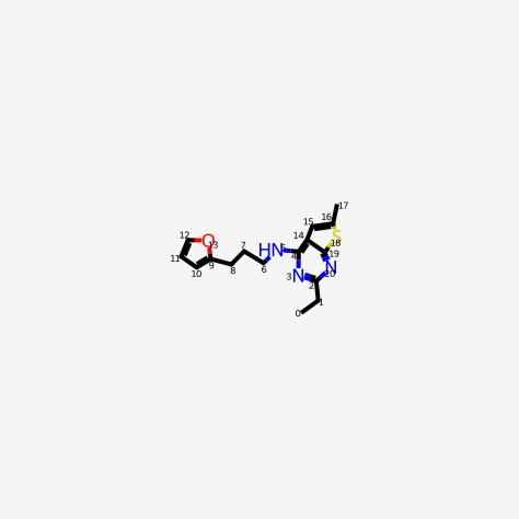 CCc1nc(NCCCc2ccco2)c2cc(C)sc2n1